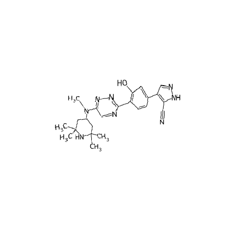 CN(c1cnc(-c2ccc(-c3cn[nH]c3C#N)cc2O)nn1)C1CC(C)(C)NC(C)(C)C1